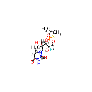 CC(C)OP1(=S)OC[C@@]2(F)O[C@@H](n3ccc(=O)[nH]c3=O)[C@](C)(O)[C@@H]2O1